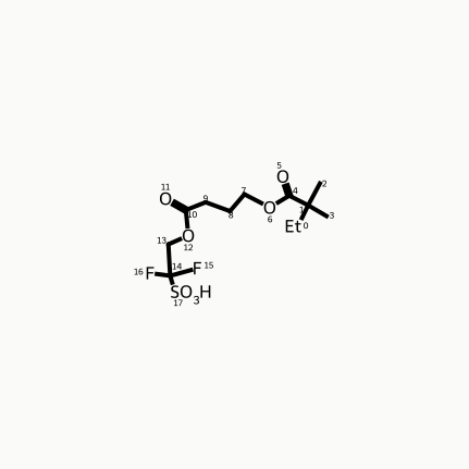 CCC(C)(C)C(=O)OCCCC(=O)OCC(F)(F)S(=O)(=O)O